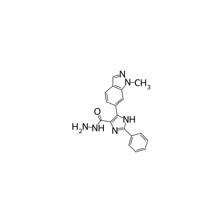 Cn1ncc2ccc(-c3[nH]c(-c4ccccc4)nc3C(=O)NN)cc21